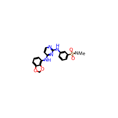 CNS(=O)(=O)c1cccc(Nc2nccc(Nc3cccc4c3OCO4)n2)c1